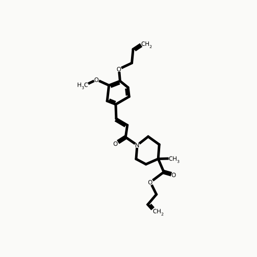 C=CCOC(=O)C1(C)CCN(C(=O)C=Cc2ccc(OCC=C)c(OC)c2)CC1